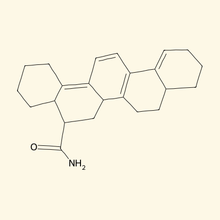 NC(=O)C1CC2C(=C3CCCCC31)C=CC1=C2CCC2CCCC=C12